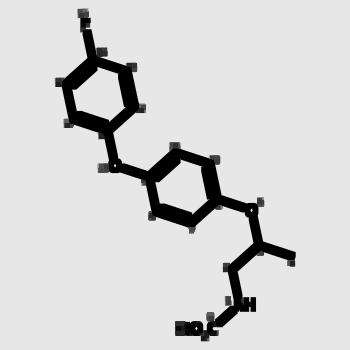 CCOC(=O)NCC(C)Oc1ccc(Oc2ccc(F)cc2)cc1